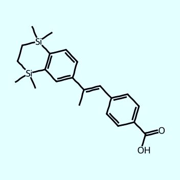 CC(=Cc1ccc(C(=O)O)cc1)c1ccc2c(c1)[Si](C)(C)CC[Si]2(C)C